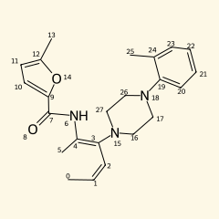 C/C=C\C(=C(/C)NC(=O)c1ccc(C)o1)N1CCN(c2ccccc2C)CC1